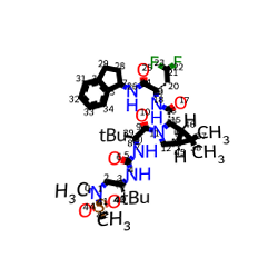 CN(C[C@@H](NC(=O)N[C@H](C(=O)N1C[C@H]2[C@@H]([C@H]1C(=O)N[C@@H](CC(F)F)C(=O)NC1CCc3ccccc31)C2(C)C)C(C)(C)C)C(C)(C)C)S(C)(=O)=O